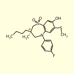 CCCC[C@]1(C)CN(c2ccc(F)cc2)c2cc(SC)c(O)cc2S(=O)(=O)C1